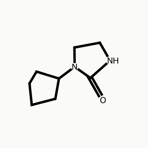 O=C1NCCN1C1CCCC1